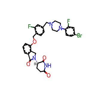 O=C1CC[C@H](N2Cc3c(OCc4ccc(CN5CCN(c6ccc(Br)cc6F)CC5)cc4F)cccc3C2=O)C(=O)N1